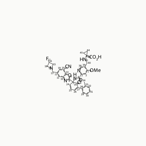 COc1cc(C(=O)NC2(c3nc4cc(CN5CC(F)C5)cc(C#N)c4o3)C=CC=C(c3ccccc3C)C2Cl)ncc1CNC1(C(=O)O)CC1